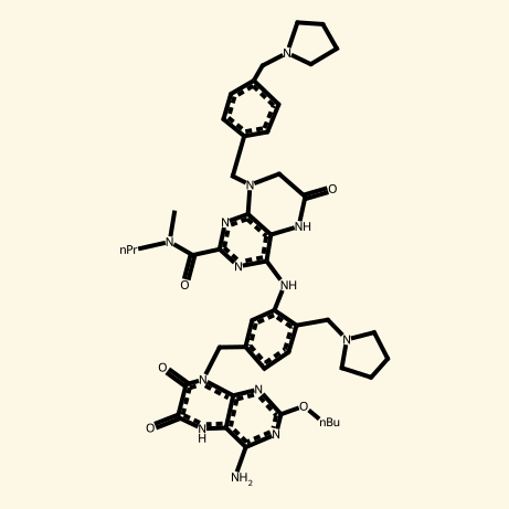 CCCCOc1nc(N)c2[nH]c(=O)c(=O)n(Cc3ccc(CN4CCCC4)c(Nc4nc(C(=O)N(C)CCC)nc5c4NC(=O)CN5Cc4ccc(CN5CCCC5)cc4)c3)c2n1